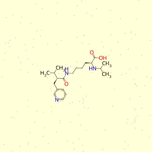 CC(C)N[C@@H](CCCCNC(=O)[C@@H](Cc1cccnc1)C(C)C)C(=O)O